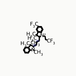 CN1/C(=C/C=C/C2=[N+](CCC(F)(F)F)c3ccc(C(F)(F)F)cc3C2(C)C)C(C)(C)c2ccccc21